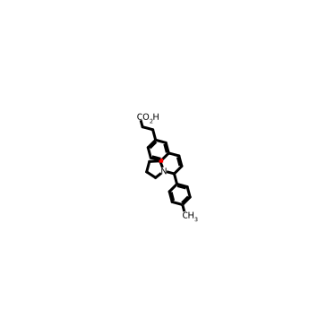 Cc1ccc(C(/C=C\c2cccc(CCC(=O)O)c2)N2CCCC2)cc1